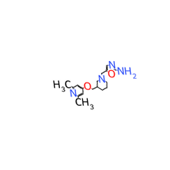 Cc1cc(OCC2CCCN(Cc3cnc(N)o3)C2)cc(C)n1